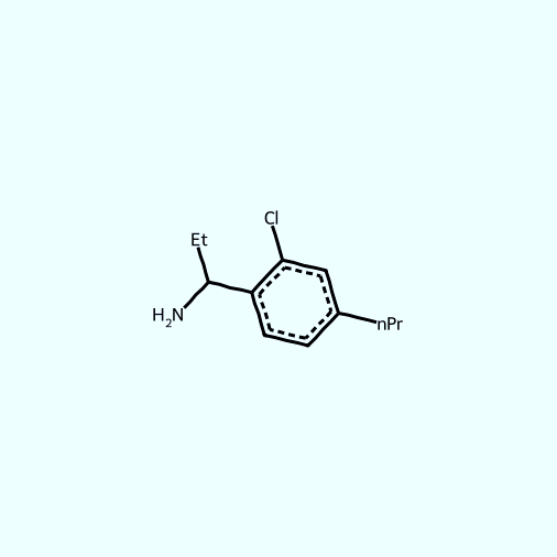 CCCc1ccc(C(N)CC)c(Cl)c1